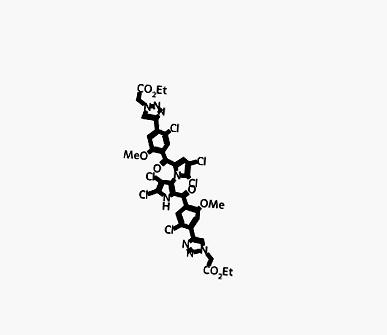 CCOC(=O)Cn1cc(-c2cc(OC)c(C(=O)c3[nH]c(Cl)c(Cl)c3-n3c(C(=O)c4cc(Cl)c(-c5cn(CC(=O)OCC)nn5)cc4OC)cc(Cl)c3Cl)cc2Cl)nn1